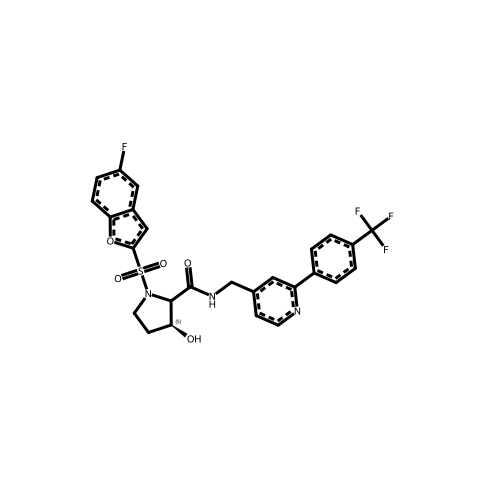 O=C(NCc1ccnc(-c2ccc(C(F)(F)F)cc2)c1)C1[C@@H](O)CCN1S(=O)(=O)c1cc2cc(F)ccc2o1